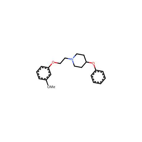 COc1cccc(OCCN2CCC(Oc3ccccc3)CC2)c1